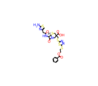 Nc1nc(CC(=O)NC2C(=O)N3CC(CSc4nnc(SCCOC(=O)c5ccccc5)s4)(C(=O)O)CS[C@H]23)cs1